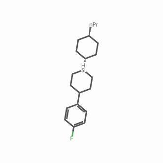 CCC[C@H]1CC[C@H]([SiH]2CCC(c3ccc(F)cc3)CC2)CC1